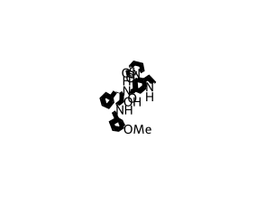 COc1cccc(CNC[C@@H](O)[C@H](Cc2ccccc2)NC(=O)c2cc(N3CCCCS3(=O)=O)c3cc[nH]c3c2)c1